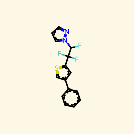 FC(n1cccn1)C(F)(F)c1cc(-c2ccccc2)cs1